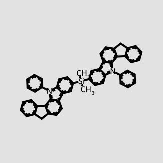 C[Si](C)(c1ccc2c(c1)c1ccc3c(c1n2-c1ccccc1)-c1ccccc1C3)c1ccc2c(c1)c1ccc3c(c1n2-c1ccccc1)-c1ccccc1C3